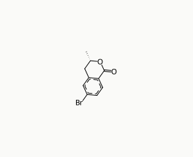 C[C@H]1Cc2cc(Br)ccc2C(=O)O1